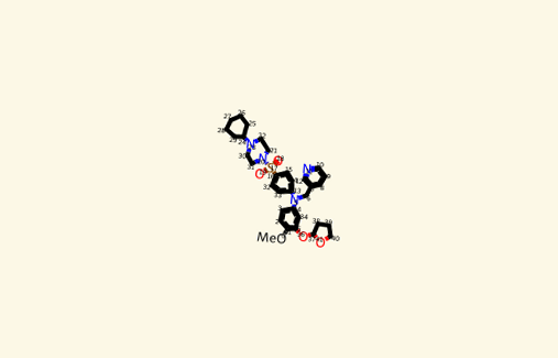 COc1ccc(N(Cc2cccnc2)c2ccc(S(=O)(=O)N3CCN(C4CCCCC4)CC3)cc2)cc1OC1CCCO1